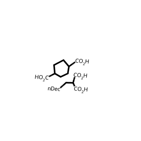 CCCCCCCCCCCC(C(=O)O)C(=O)O.O=C(O)C1CCC(C(=O)O)CC1